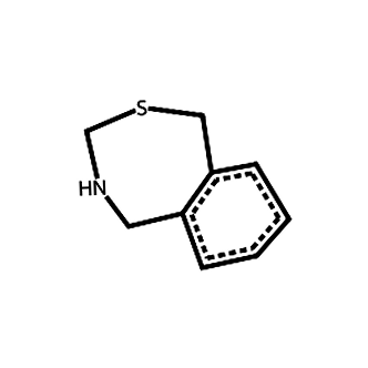 c1ccc2c(c1)CNCSC2